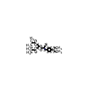 C=C(C)C(=O)OCC(COC(=O)C(=C)C)OC(=O)/C(C#N)=C/c1ccc(N(CC)CC)cc1